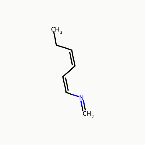 C=N/C=C\C=C/CC